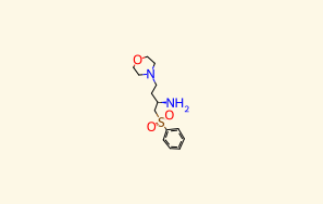 N[C@H](CCN1CCOCC1)CS(=O)(=O)c1ccccc1